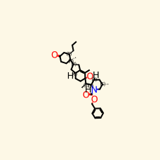 CCC[C@@H]1CC(=O)CC[C@]1(C)[C@H]1CC2=C(C)C3(CC[C@H]2C1)O[C@@H]1C[C@H](C)CN(C(=O)OCc2ccccc2)[C@H]1[C@H]3C